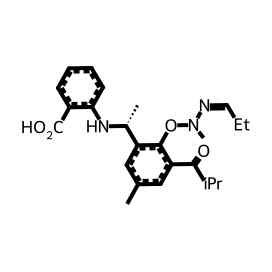 CC/C=N\N(C)Oc1c(C(=O)C(C)C)cc(C)cc1[C@@H](C)Nc1ccccc1C(=O)O